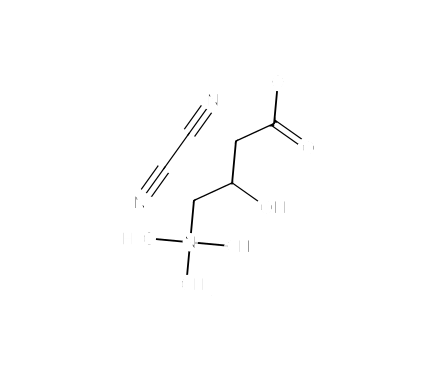 C[N+](C)(C)CC(O)CC(=O)[O-].N#CC#N